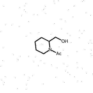 CC(=O)N1CCCCC1CO